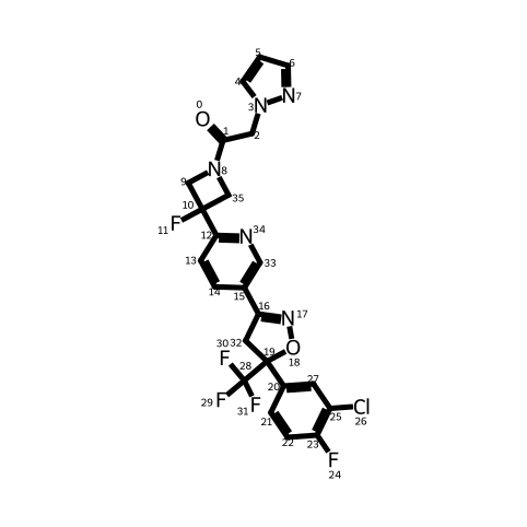 O=C(Cn1cccn1)N1CC(F)(c2ccc(C3=NOC(c4ccc(F)c(Cl)c4)(C(F)(F)F)C3)cn2)C1